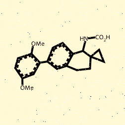 COc1ccc(OC)c(-c2ccc3c(c2)CCC2(CC2)C3NC(=O)O)c1